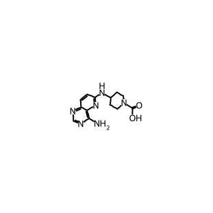 Nc1ncnc2ccc(NC3CCN(C(=O)O)CC3)nc12